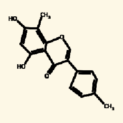 Cc1ccc(-c2coc3c(C)c(O)cc(O)c3c2=O)cc1